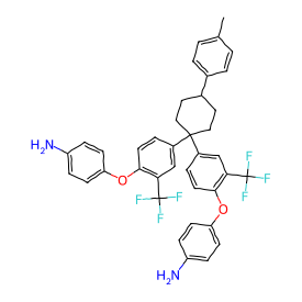 Cc1ccc(C2CCC(c3ccc(Oc4ccc(N)cc4)c(C(F)(F)F)c3)(c3ccc(Oc4ccc(N)cc4)c(C(F)(F)F)c3)CC2)cc1